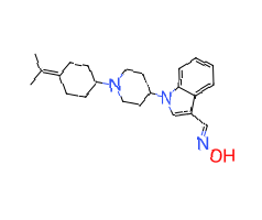 CC(C)=C1CCC(N2CCC(n3cc(C=NO)c4ccccc43)CC2)CC1